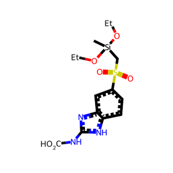 CCO[Si](C)(CS(=O)(=O)c1ccc2[nH]c(NC(=O)O)nc2c1)OCC